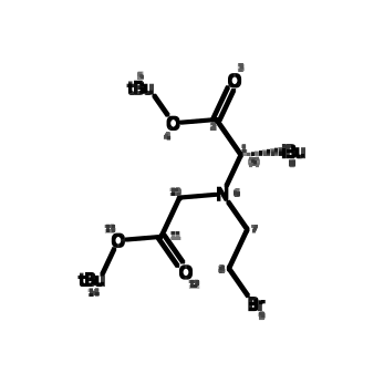 CCC(C)[C@@H](C(=O)OC(C)(C)C)N(CCBr)CC(=O)OC(C)(C)C